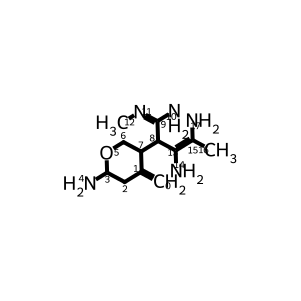 C=C1CC(N)OCC1C(/C(N)=N\C)/C(N)=C(/C)N